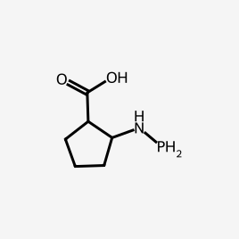 O=C(O)C1CCCC1NP